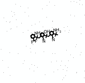 CC(C)(C)c1c(N)ccc(CC(C)(C)c2c(O)ccc(CC(C)(C)c3c(N)cccc3C(F)F)c2C#N)c1C#N